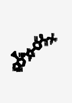 Cn1nc(C2=CC=C(C(=O)NCC(F)(F)F)NC2)nc1Nc1ccc2[nH]ncc2c1C1CC1